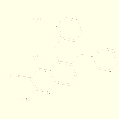 Cl.Nc1nc2ccc(Cc3ccccc3)c(Cc3ccccc3)c2c(N)c1N